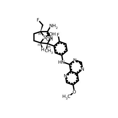 COc1cnc2c(Nc3ccc(F)c([C@@]4(C)N=C(N)[C@@]5(CF)CC[C@@H]4S5(O)O)c3)ncnc2c1